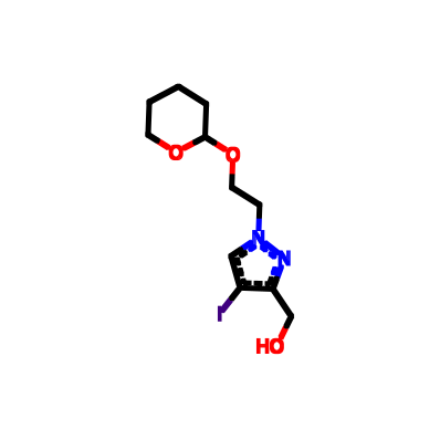 OCc1nn(CCOC2CCCCO2)cc1I